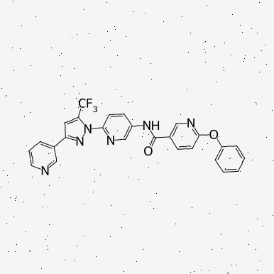 O=C(Nc1ccc(-n2nc(-c3cccnc3)cc2C(F)(F)F)nc1)c1ccc(Oc2ccccc2)nc1